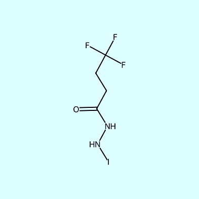 O=C(CCC(F)(F)F)NNI